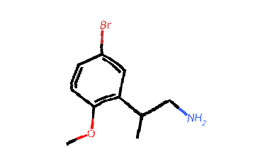 COc1ccc(Br)cc1C(C)CN